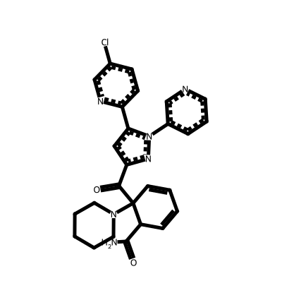 NC(=O)C1C=CC=CC1(C(=O)c1cc(-c2ccc(Cl)cn2)n(-c2cccnc2)n1)N1CCCCC1